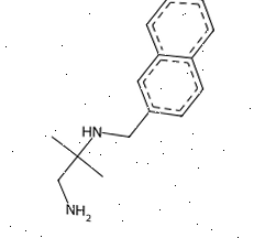 CC(C)(CN)NCc1ccc2ccccc2c1